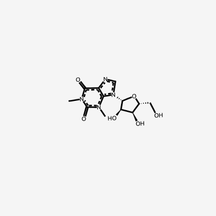 Cn1c(=O)c2ncn([C@@H]3O[C@H](CO)[C@@H](O)[C@H]3O)c2n(C)c1=O